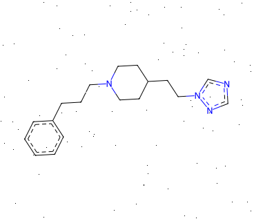 c1ccc(CCCN2CCC(CCn3cncn3)CC2)cc1